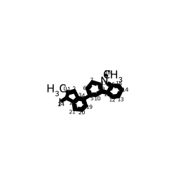 CC1=Cc2c(-c3ccc4c(c3)c3ccccc3n4C)cccc2C1I